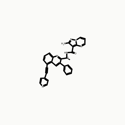 C[C@H](NC(=O)c1c(N)nn2cccnc12)c1nc2cccc(C#Cc3ccncc3)c2cc1-c1ccccc1